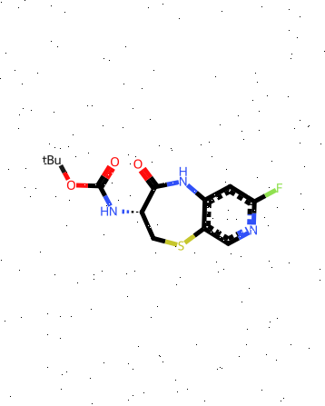 CC(C)(C)OC(=O)N[C@H]1CSc2cnc(F)cc2NC1=O